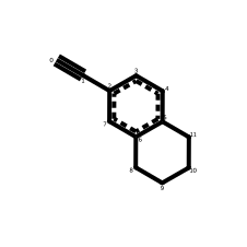 C#Cc1ccc2c(c1)CCCC2